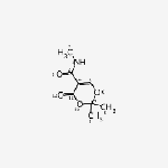 CNC(=O)C1=COC(C)(C)OC1=O